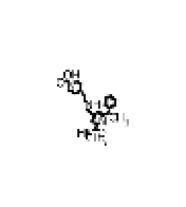 CNC(=O)c1cc(CNCCC2CCN(C(=O)O)CC2)cc(C(C)c2ccccc2)n1